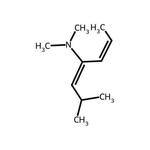 C/C=C\C(=C/C(C)C)N(C)C